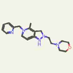 CC1=C2CN(CCN3CCOCC3)NC2=CCN1Cc1ccccn1